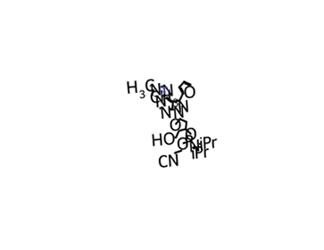 CC(C)N(C(C)C)P(OCCC#N)OC1CC(n2nc(-c3ccco3)c3c(/N=C\N(C)C)ncnc32)OC1CO